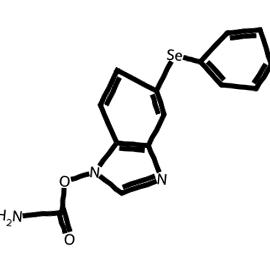 NC(=O)On1cnc2cc([Se]c3ccccc3)ccc21